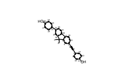 CC1(C)c2cc(C#Cc3ccc(O)cc3)ccc2-c2ccc(-c3ccc(O)cc3)cc21